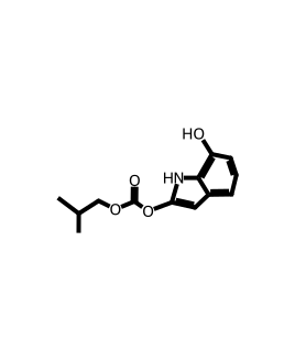 CC(C)COC(=O)Oc1cc2cccc(O)c2[nH]1